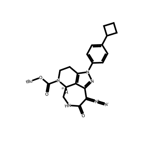 CC(C)(C)OC(=O)N1CCc2c3c(nn2-c2ccc(C4CCC4)cc2)C(=[N+]=[N-])C(=O)NC[C@@H]31